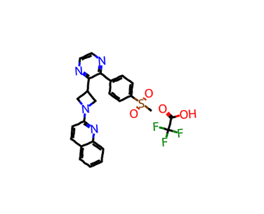 CS(=O)(=O)c1ccc(-c2nccnc2C2CN(c3ccc4ccccc4n3)C2)cc1.O=C(O)C(F)(F)F